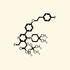 CC1(C)CCN(c2c(-c3ccc(OCCc4ccc(F)cc4)cc3)cnc(CF)c2[C@H](OC(C)(C)C)C(=O)O)CC1